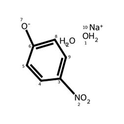 O.O.O=[N+]([O-])c1ccc([O-])cc1.[Na+]